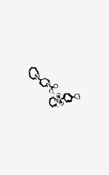 C[C@@H]1CCC[C@H](COC(=O)N2CCC(N3CCCCCC3)CC2)N1S(=O)(=O)c1ccc(Cl)cc1